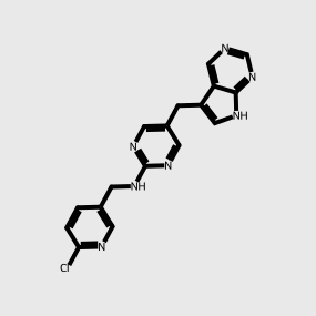 Clc1ccc(CNc2ncc(Cc3c[nH]c4ncncc34)cn2)cn1